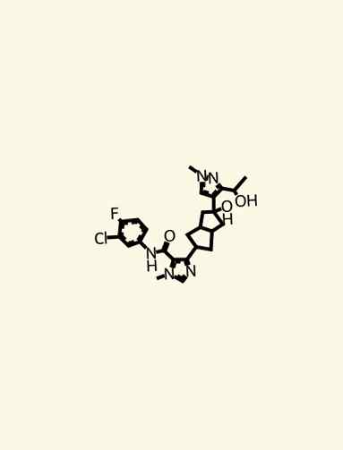 CC(O)c1nn(C)cc1C1(O)CC2CC(c3ncn(C)c3C(=O)Nc3ccc(F)c(Cl)c3)CC2C1